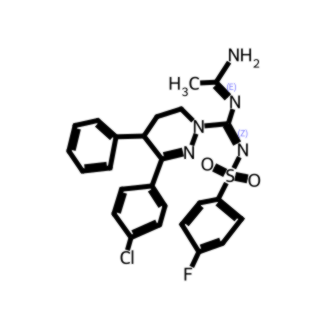 C/C(N)=N\C(=N\S(=O)(=O)c1ccc(F)cc1)N1CCC(c2ccccc2)C(c2ccc(Cl)cc2)=N1